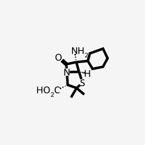 CC1(C)S[C@H]2N(C(=O)[C@@]2(N)C2CCCCC2)[C@H]1C(=O)O